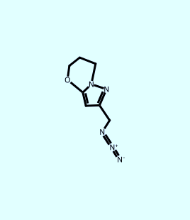 [N-]=[N+]=NCc1cc2n(n1)CCCO2